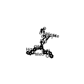 COCCOCCOCCN(CC(C)(C)SSCCC(C(=O)NCCN1C(=O)C=CC1=O)S(=O)(=O)O)c1cc(COc2cc3c(cc2OC)C(O)N2c4ccccc4CC2C=N3)cc(COc2cc3c(cc2OC)C(=O)N2c4ccccc4CC2CN3)c1